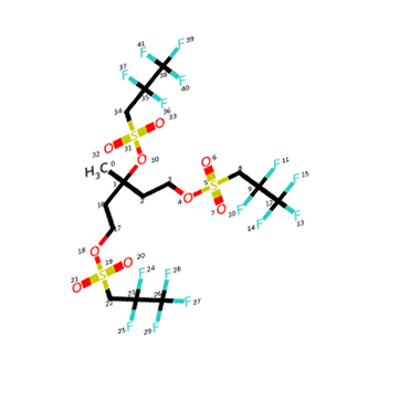 CC(CCOS(=O)(=O)CC(F)(F)C(F)(F)F)(CCOS(=O)(=O)CC(F)(F)C(F)(F)F)OS(=O)(=O)CC(F)(F)C(F)(F)F